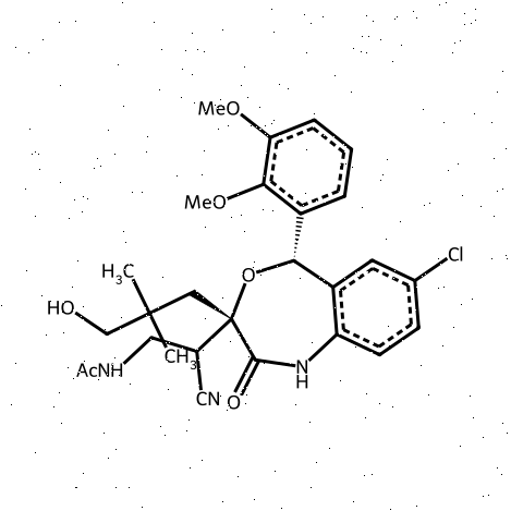 COc1cccc([C@H]2O[C@@](CC(C)(C)CO)(C(C#N)CNC(C)=O)C(=O)Nc3ccc(Cl)cc32)c1OC